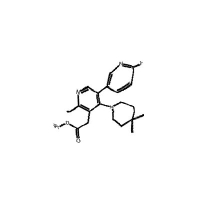 Cc1ncc(-c2ccc(F)nc2)c(N2CCC(C)(C)CC2)c1CC(=O)OC(C)C